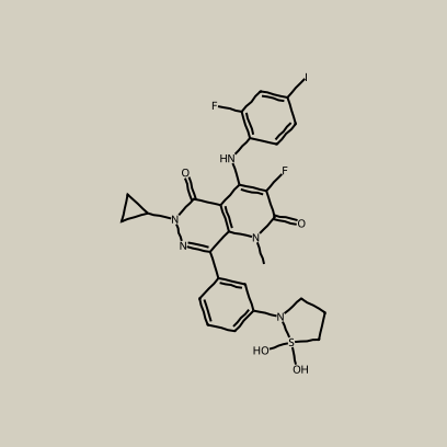 Cn1c(=O)c(F)c(Nc2ccc(I)cc2F)c2c(=O)n(C3CC3)nc(-c3cccc(N4CCCS4(O)O)c3)c21